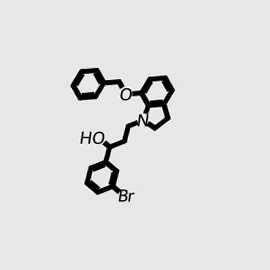 OC(CCN1CCc2cccc(OCc3ccccc3)c21)c1cccc(Br)c1